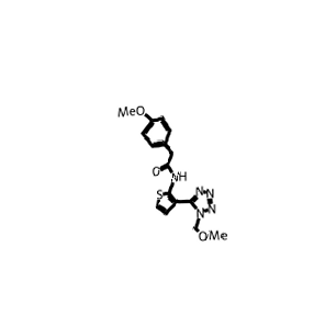 COCn1nnnc1-c1ccsc1NC(=O)Cc1ccc(OC)cc1